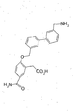 NCc1cccc(-c2cccc(COc3ccc(C(N)=O)cc3CC(=O)O)c2)c1